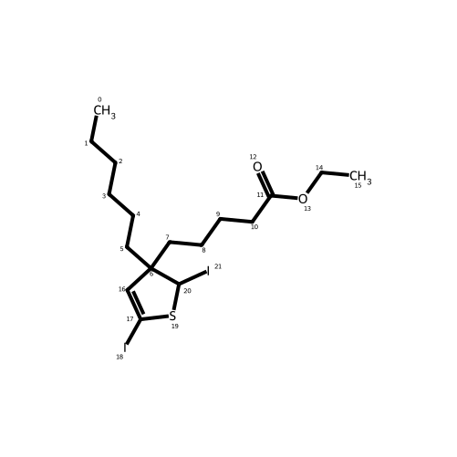 CCCCCCC1(CCCCC(=O)OCC)C=C(I)SC1I